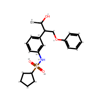 CCC(O)C(COc1c[c]ccc1)c1cccc(NS(=O)(=O)C2CCCC2)c1